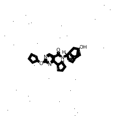 O=C(N[C@H]1C2CC3CC1C[C@@](O)(C3)C2)c1cnc(OC2CCCC2)nc1C1CCCC1